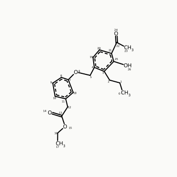 CCCc1c(COc2cccc(CC(=O)OCC)c2)ccc(C(C)=O)c1O